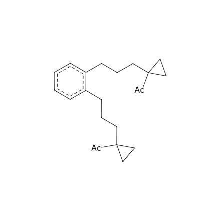 CC(=O)C1(CCCc2ccccc2CCCC2(C(C)=O)CC2)CC1